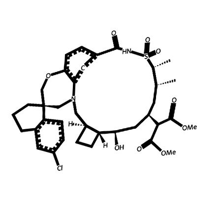 COC(=O)C(C(=O)OC)[C@@H]1C[C@@H](C)[C@@H](C)S(=O)(=O)NC(=O)c2ccc3c(c2)N(C[C@@H]2CC[C@H]2[C@H](O)C1)C[C@@]1(CCCc2cc(Cl)ccc21)CO3